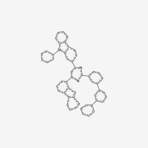 c1ccc(-c2cccc(-c3cccc(-c4nc(-c5ccc6c7ccccc7n(-c7ccccc7)c6c5)cc(-c5cccc6c5sc5ccccc56)n4)c3)c2)cc1